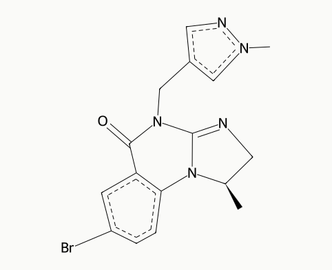 C[C@@H]1CN=C2N(Cc3cnn(C)c3)C(=O)c3cc(Br)ccc3N21